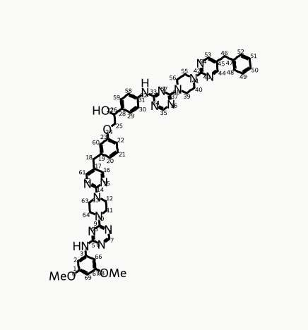 COc1cc(Nc2ncnc(N3CCN(c4ncc(Cc5cccc(OCC(O)c6ccc(Nc7ncnc(N8CCN(c9ncc(Cc%10ccccc%10)cn9)CC8)n7)cc6)c5)cn4)CC3)n2)cc(OC)c1